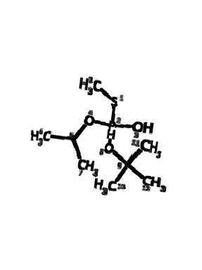 CS[PH](O)(OC(C)C)OC(C)(C)C